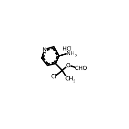 CC(Cl)(OC=O)c1ccncc1N.Cl